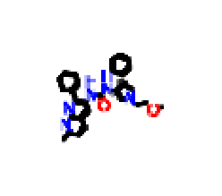 COCCN1C[C@@H](NC(=O)Nc2cc3ccc(C)nc3nc2-c2ccccc2)[C@H](c2ccccc2)C1